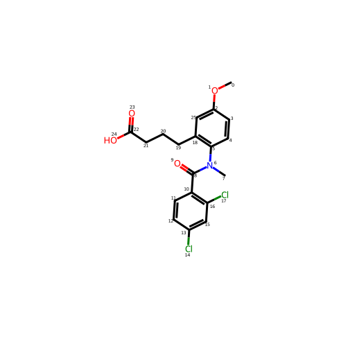 COc1ccc(N(C)C(=O)c2ccc(Cl)cc2Cl)c(CCCC(=O)O)c1